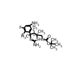 C[C@@H]1[C@@](C)(CNC(=O)OC(C)(C)C)SC(N)=N[C@]1(C)c1cc(N)cc(F)c1F